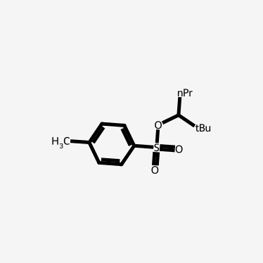 CCCC(OS(=O)(=O)c1ccc(C)cc1)C(C)(C)C